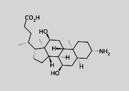 C[C@H](CCC(=O)O)[C@H]1CC[C@H]2[C@@H]3[C@H](O)C[C@@H]4C[C@@H](N)CC[C@]4(C)[C@H]3C[C@H](O)[C@]12C